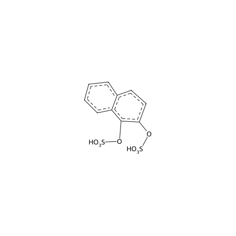 O=S(=O)(O)Oc1ccc2ccccc2c1OS(=O)(=O)O